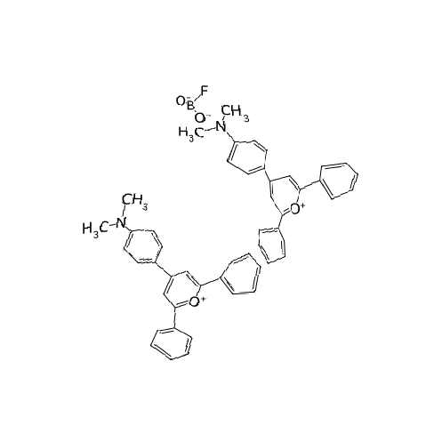 CN(C)c1ccc(-c2cc(-c3ccccc3)[o+]c(-c3ccccc3)c2)cc1.CN(C)c1ccc(-c2cc(-c3ccccc3)[o+]c(-c3ccccc3)c2)cc1.[O-]B([O-])F